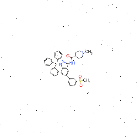 CN1CCC(C(=O)Nc2nn(C(c3ccccc3)(c3ccccc3)c3ccccc3)c3ccc(-c4cccc(S(C)(=O)=O)c4)cc23)CC1